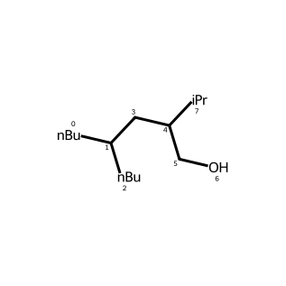 CCCCC(CCCC)CC(CO)C(C)C